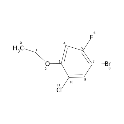 CCOc1cc(F)c(Br)cc1Cl